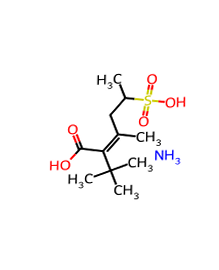 CC(CC(C)S(=O)(=O)O)=C(C(=O)O)C(C)(C)C.N